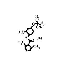 Cc1cc(OC(C)(C)C)ccc1PC(=O)c1c(C)cccc1C.[LiH]